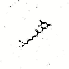 Cc1cc(=O)nc(NC(=O)NCCCCN(C(=O)O)C(C)(C)C)[nH]1